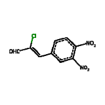 O=CC(Cl)=Cc1ccc([N+](=O)[O-])c([N+](=O)[O-])c1